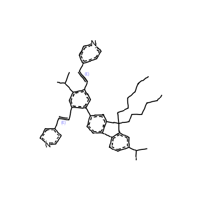 CCCCCCC1(CCCCCC)c2cc(-c3cc(/C=C/c4ccncc4)c(C(C)C)cc3/C=C/c3ccncc3)ccc2-c2ccc(C(C)C)cc21